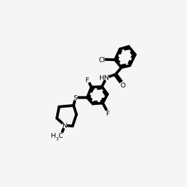 CN1CCC(Sc2cc(F)cc(NC(=O)c3ccccc3Cl)c2F)CC1